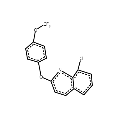 FC(F)(F)Oc1ccc(Oc2ccc3cccc(Cl)c3n2)cc1